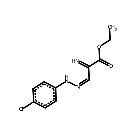 CCOC(=O)C(=N)/C=N\Nc1ccc(Cl)cc1